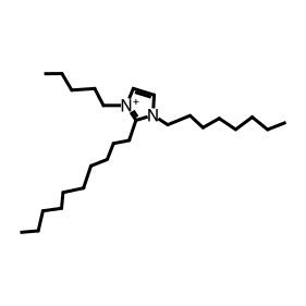 CCCCCCCCCCc1n(CCCCCCCC)cc[n+]1CCCCC